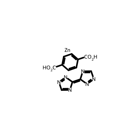 C1=NC(=C2N=CN=N2)N=N1.O=C(O)c1ccc(C(=O)O)cc1.[Zn]